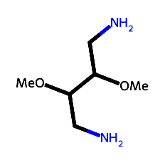 COC(CN)C(CN)OC